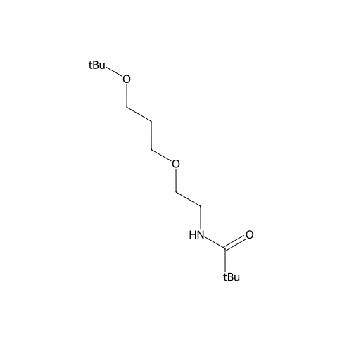 CC(C)(C)OCCCOCCNC(=O)C(C)(C)C